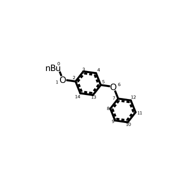 C[CH]CCOc1ccc(Oc2ccccc2)cc1